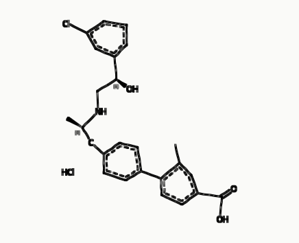 Cc1cc(C(=O)O)ccc1-c1ccc(C[C@@H](C)NC[C@H](O)c2cccc(Cl)c2)cc1.Cl